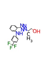 C[C@@H](CO)n1nnc(-c2ccccc2Nc2ccc(C(F)(F)F)cc2)n1